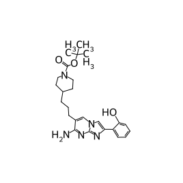 CC(C)(C)OC(=O)N1CCC(CCCc2cn3cc(-c4ccccc4O)nc3nc2N)CC1